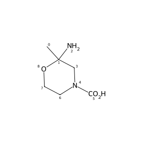 CC1(N)CN(C(=O)O)CCO1